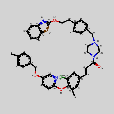 Cc1ccc(COc2ccc(Oc3c(C)cc(C=CC(=O)N4CCN(Cc5ccc(CCOc6nc7ccccc7s6)cc5)CC4)cc3Cl)nc2)cc1